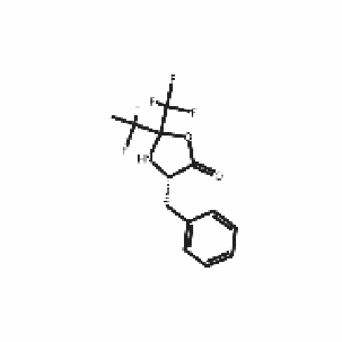 O=C1OC(C(F)(F)F)(C(F)(F)F)N[C@H]1Cc1ccccc1